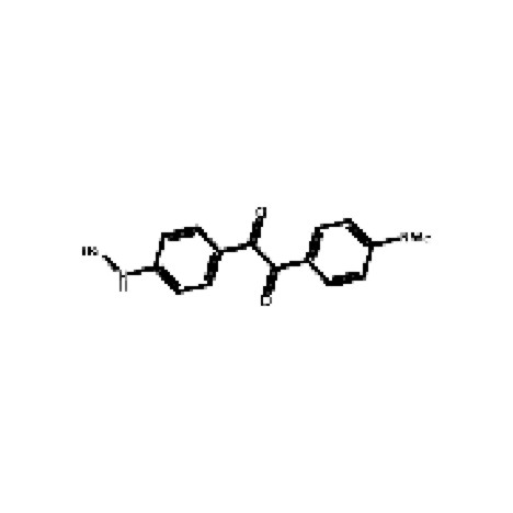 CNc1ccc(C(=O)C(=O)c2ccc(NC(C)(C)C)cc2)cc1